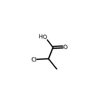 C[C](Cl)C(=O)O